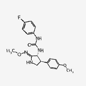 CO/N=C1\NC[C@H](c2ccc(OC)cc2)[C@H]1NC(=O)Nc1ccc(F)cc1